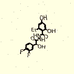 CCc1cc(O)cc(O)c1C(=O)NNC(=O)C(O)c1ccc(F)c(F)c1